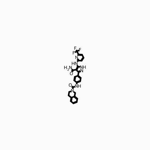 NC(=O)c1c(-c2ccc(NC(=O)N3CCc4ccccc4C3)cc2)n[nH]c1Nc1cccc(C(F)(F)F)n1